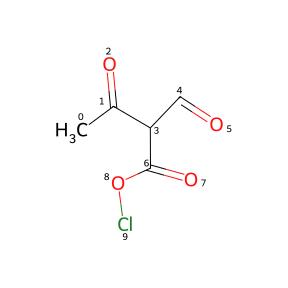 CC(=O)C(C=O)C(=O)OCl